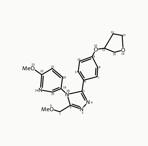 COCc1nnc(-c2ccc(OC3CCOC3)cc2)n1-c1ccc(OC)nc1